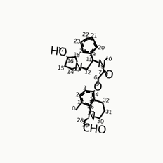 Cc1ccc(OCC(=O)N(C)C(CN2CC[C@H](O)C2)c2ccccc2)c2c1N(CC=O)CCC2